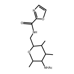 CC(=O)NC1C(C)OC(CNC(=O)c2ncco2)C(C)C1C